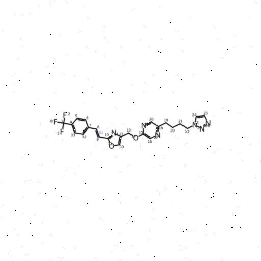 FC(F)(F)c1ccc(/C=C/c2nc(COc3cnc(CCCCn4ccnn4)cn3)co2)cc1